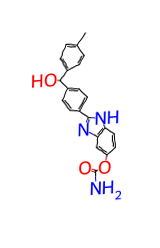 Cc1ccc(C(O)c2ccc(-c3nc4cc(OC(N)=O)ccc4[nH]3)cc2)cc1